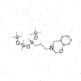 C[Si](C)(C)O[Si](C)(C)O[Si](C)(CCCN1COc2ccccc2C1)O[Si](C)(C)C